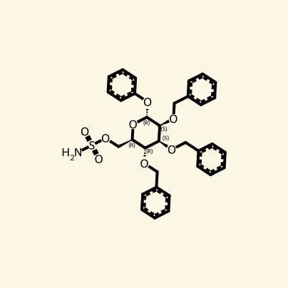 NS(=O)(=O)OC[C@H]1O[C@H](Oc2ccccc2)[C@@H](OCc2ccccc2)[C@@H](OCc2ccccc2)[C@@H]1OCc1ccccc1